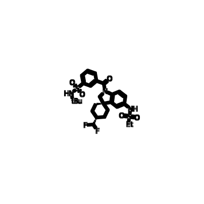 CCS(=O)(=O)Nc1ccc2c(c1)[C@]1(CC[C@@H](C(F)F)CC1)CN2C(=O)c1cccc(S(=O)(=O)NC(C)(C)C)c1